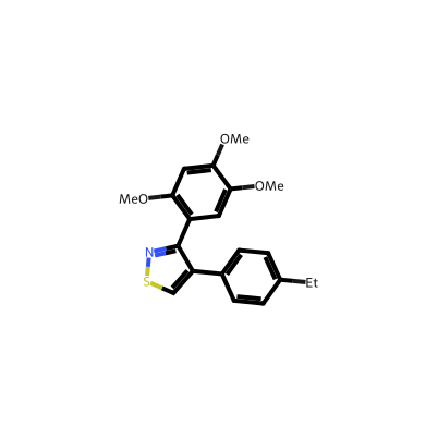 CCc1ccc(-c2csnc2-c2cc(OC)c(OC)cc2OC)cc1